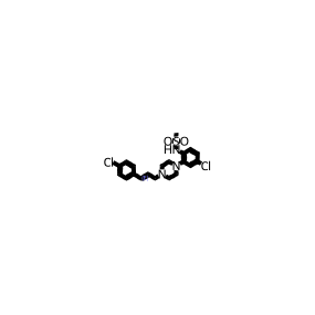 CS(=O)(=O)Nc1ccc(Cl)cc1N1CCN(C/C=C/c2ccc(Cl)cc2)CC1